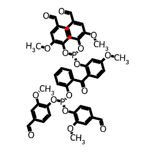 COc1ccc(C(=O)c2ccccc2OP(Oc2ccc(C=O)cc2OC)Oc2ccc(C=O)cc2OC)c(OP(Oc2ccc(C=O)cc2OC)Oc2ccc(C=O)cc2OC)c1